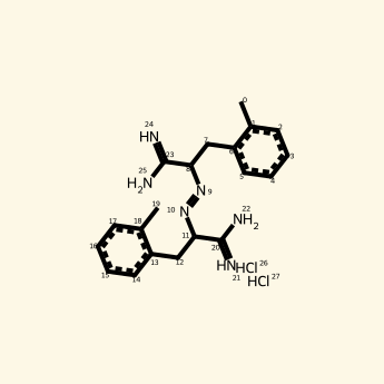 Cc1ccccc1CC(N=NC(Cc1ccccc1C)C(=N)N)C(=N)N.Cl.Cl